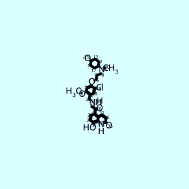 COc1cc(OCCCN(C)[C@H]2CC[C@H]([O])CC2)c(Cl)cc1CNC[C@H](O)c1ccc(O)c2[nH]c(=O)ccc12